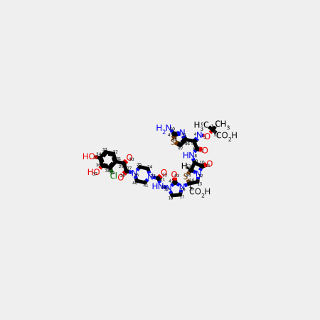 CC(C)(O/N=C(\C(=O)NC1C(=O)N2C[C@@](C(=O)O)(N3CCN(NC(=O)N4CCN(C(=O)C(=O)c5ccc(O)c(O)c5Cl)CC4)C3=O)S[C@H]12)c1csc(N)n1)C(=O)O